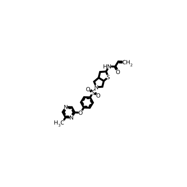 C=CC(=O)NC1CC2CN(S(=O)(=O)c3ccc(Oc4cncc(C)n4)cc3)CC2S1